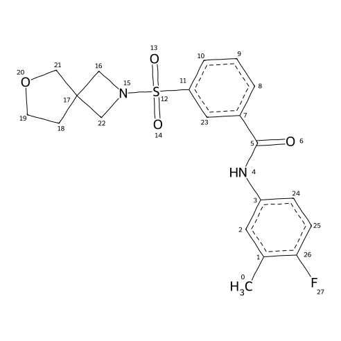 Cc1cc(NC(=O)c2cccc(S(=O)(=O)N3CC4(CCOC4)C3)c2)ccc1F